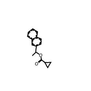 CC(OC(=O)C1CC1)c1ccc2ccccc2c1